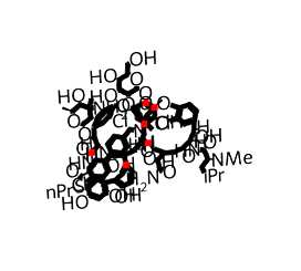 CCCSC(=O)[C@H]1NC(=O)[C@H]2NC(=O)[C@H](CC(=O)[C@@H]3NC(=O)[C@H](CC(N)=O)CC(=O)[C@H](NC(=O)[C@@H](CC(C)C)NC)[C@H](O)c4ccc(c(Cl)c4)Oc4cc3cc(c4O[C@@H]3OC(CO)[C@@H](O)C(O)C3O[C@H]3CC(C)(NCc4ccc(-c5ccc(Cl)cc5)cc4)[C@@H](O)[C@H](C)O3)Oc3ccc(cc3Cl)[C@H]2O[C@H]2CC(C)(N)[C@@H](O)[C@H](C)O2)c2ccc(O)c(c2)-c2c(O)cc(O)cc21